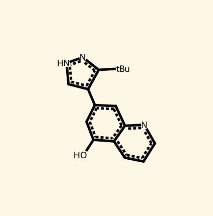 CC(C)(C)c1n[nH]cc1-c1cc(O)c2cccnc2c1